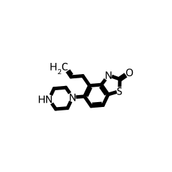 C=CCc1c(N2CCNCC2)ccc2c1[N]C(=O)S2